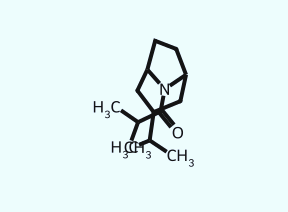 CC(C)C(=O)N1C2CCC1CC(C(C)C)C2